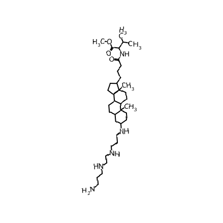 COC(=O)C(NC(=O)CCCC1CCC2C3CCC4CC(NCCCNCCNCCCN)CCC4(C)C3CCC12C)C(C)C